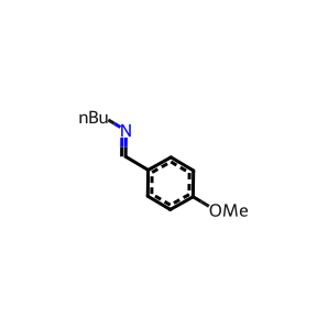 CCCCN=Cc1ccc(OC)cc1